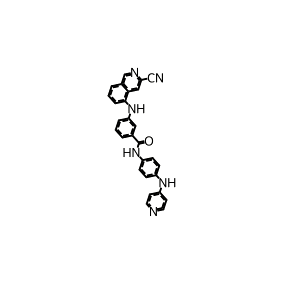 N#Cc1cc2c(Nc3cccc(C(=O)Nc4ccc(Nc5ccncc5)cc4)c3)cccc2cn1